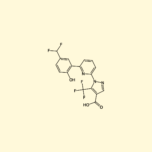 O=C(O)c1cnn(-c2cccc(-c3cc(C(F)F)ccc3O)n2)c1C(F)(F)F